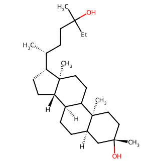 CCC(C)(O)CC[C@@H](C)[C@H]1CC[C@H]2[C@@H]3CC[C@@H]4C[C@@](C)(O)CC[C@]4(C)C3CC[C@]12C